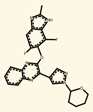 Cc1nc2cc(F)c(Oc3nc4ccccc4nc3-c3cnn(C4CCCCO4)c3)c(F)c2[nH]1